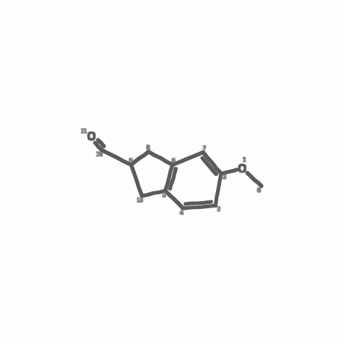 COc1ccc2c(c1)CC(C=O)C2